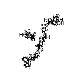 C[C@@H](Cc1cccc(CCNC(=O)Cc2ccc(N(C)C(=O)CCN3CCC(OC(=O)Nc4ccccc4-c4ccccc4)CC3)cc2)c1)NC[C@H](O)c1ccc(O)c2[nH]c(=O)ccc12.O=C(O)C(F)(F)F.O=C(O)C(F)(F)F